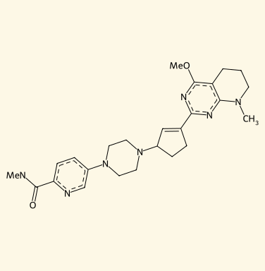 CNC(=O)c1ccc(N2CCN(C3C=C(c4nc(OC)c5c(n4)N(C)CCC5)CC3)CC2)cn1